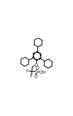 O=S(=O)(O)C(F)(F)COc1c(C2CCCCC2)cc(C2CCCCC2)cc1C1CCCCC1